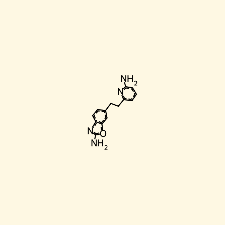 Nc1cccc(CCc2ccc3nc(N)oc3c2)n1